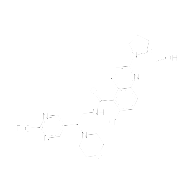 O=C(NCC(c1cnc(C(F)(F)F)nc1)N1CCOCC1)c1c(Cl)ccc2nc(N3CCC[C@@H]3CO)ccc12